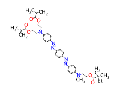 C=C(C)C(=O)OCCN(CCOC(=O)C(=C)C)c1ccc(/N=N/c2ccc(/N=N/c3ccc(N(C)CCOC(=O)C(C)(C)CC)cc3)cc2)cc1